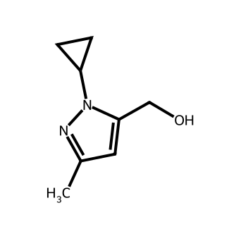 Cc1cc(CO)n(C2CC2)n1